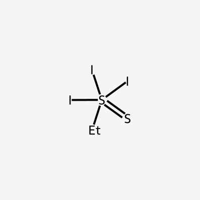 CCS(=S)(I)(I)I